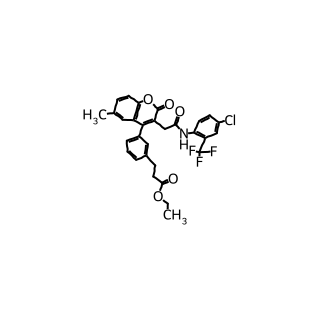 CCOC(=O)CCc1cccc(-c2c(CC(=O)Nc3ccc(Cl)cc3C(F)(F)F)c(=O)oc3ccc(C)cc23)c1